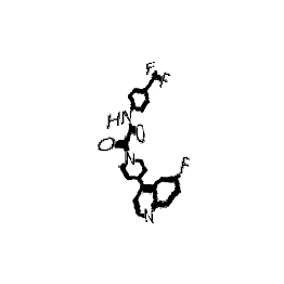 O=C(Nc1ccc(C(F)F)cc1)C(=O)N1CCC(c2ccnc3ccc(F)cc23)CC1